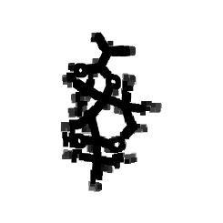 C=C(C)C(=O)OC1(C(F)(F)F)C(F)(F)COC(O)(C(F)(F)F)C1(F)F